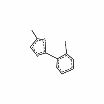 [CH2]c1csc(-c2ccccc2I)n1